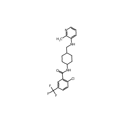 Cc1ncccc1NCC1CCC(NC(=O)c2cc(C(F)(F)F)ccc2Cl)CC1